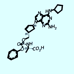 C[C@H](N[P@](=O)(OC[C@@H]1C=C[C@H](n2cnc3c(NC4CCCC4)nc(N)nc32)C1)Oc1ccccc1)C(=O)O